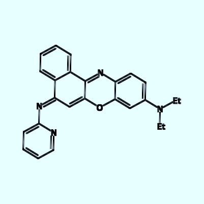 CCN(CC)c1ccc2nc3c4ccccc4/c(=N/c4ccccn4)cc-3oc2c1